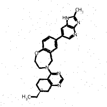 CC[C@H]1CCc2c(ncnc2N2CCOc3ccc(-c4cnc5nc(C)[nH]c5c4)cc3C2)C1